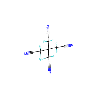 N#CC(F)(F)C(C(F)(F)C#N)(C(F)(F)C#N)C(F)(F)C#N